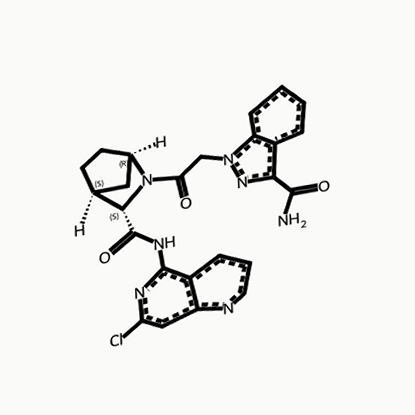 NC(=O)c1nn(CC(=O)N2[C@@H]3CC[C@@H](C3)[C@H]2C(=O)Nc2nc(Cl)cc3ncccc23)c2ccccc12